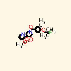 COc1cccnc1C12CCN(C(=O)c3ccc(OCC(C)(C)F)c(C)c3)CC1OCO2